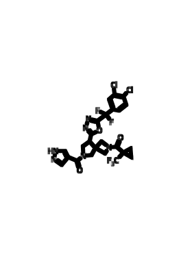 O=C(c1cn[nH]c1)N1CC(c2nnc(C(F)(F)c3ccc(Cl)c(Cl)c3)o2)C2(C1)CN(C(=O)C1(C(F)(F)F)CC1)C2